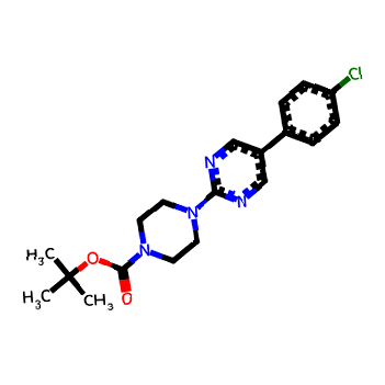 CC(C)(C)OC(=O)N1CCN(c2ncc(-c3ccc(Cl)cc3)cn2)CC1